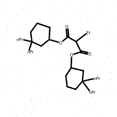 CCCC1(CCC)CCCC(OC(=O)C(CC)C(=O)OC2CCCC(CCC)(CCC)C2)C1